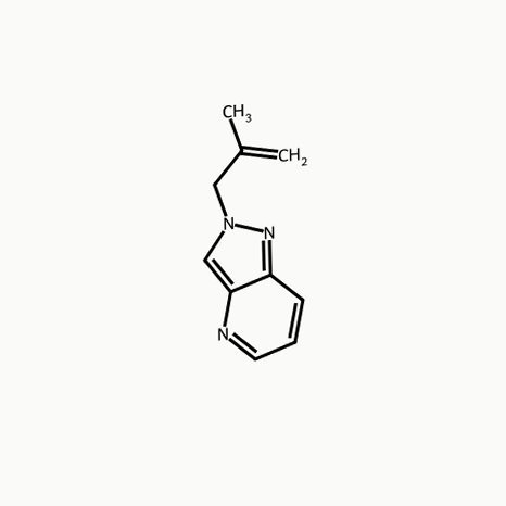 C=C(C)Cn1cc2ncccc2n1